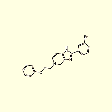 Brc1cccc(-c2nc3c([nH]2)C=CN(CCOc2ccccc2)C3)c1